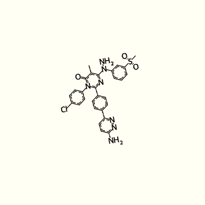 Cc1c(N(N)c2cccc(S(C)(=O)=O)c2)nc(-c2ccc(-c3ccc(N)nn3)cc2)n(-c2ccc(Cl)cc2)c1=O